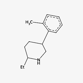 CCC1CCC(c2ccccc2C)CN1